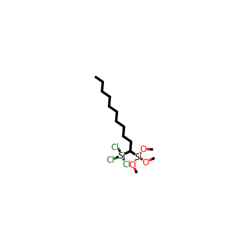 CCCCCCCCCCC([Si](Cl)(Cl)Cl)[Si](OC)(OC)OC